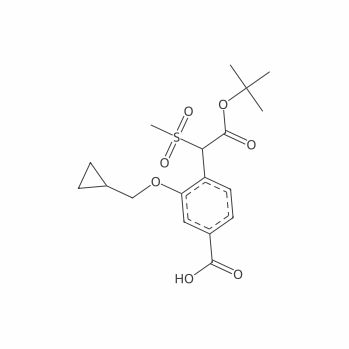 CC(C)(C)OC(=O)C(c1ccc(C(=O)O)cc1OCC1CC1)S(C)(=O)=O